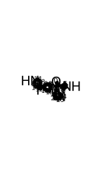 O=C(C1CNC1)N(c1ccc(C2(F)CCNCC2)cc1)c1cccnn1